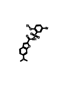 CCOc1ccc(Br)cc1S(=O)(=O)NC(=O)c1cc2ccc(N(C)C)cc2o1